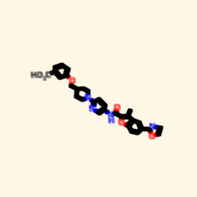 Cc1c(C(=O)Nc2ccc(N3CCC(COc4cccc(C(=O)O)c4)CC3)nc2)oc2ccc(-c3ncco3)cc12